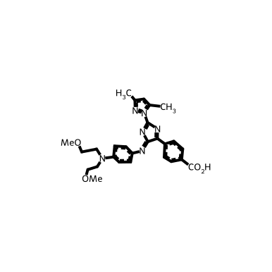 COCCN(CCOC)c1ccc(N=C2N=C(n3nc(C)cc3C)N=C2c2ccc(C(=O)O)cc2)cc1